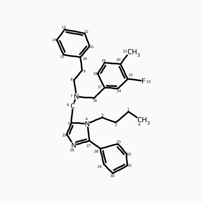 CCCCn1c(CN(CCc2ccccc2)Cc2ccc(C)c(F)c2)cnc1-c1ccccc1